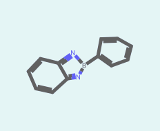 c1ccc(B2N=c3ccccc3=N2)cc1